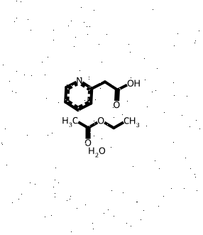 CCOC(C)=O.O.O=C(O)Cc1ccccn1